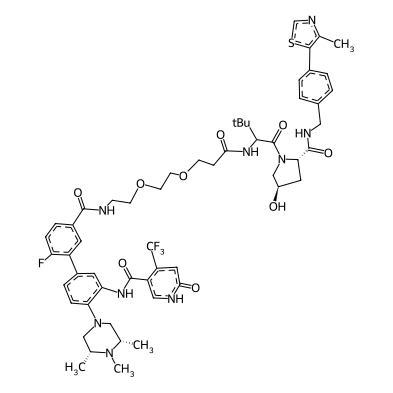 Cc1ncsc1-c1ccc(CNC(=O)[C@@H]2C[C@@H](O)CN2C(=O)C(NC(=O)CCOCCOCCNC(=O)c2ccc(F)c(-c3ccc(N4C[C@@H](C)N(C)[C@@H](C)C4)c(NC(=O)c4c[nH]c(=O)cc4C(F)(F)F)c3)c2)C(C)(C)C)cc1